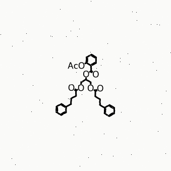 CC(=O)Oc1ccccc1C(=O)OC(COC(=O)CCCc1ccccc1)COC(=O)CCCc1ccccc1